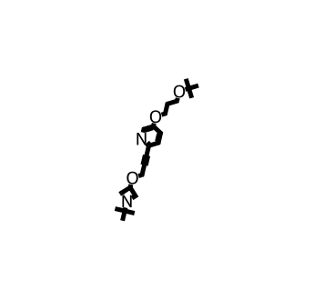 CC(C)(C)OCCCOc1ccc(C#CCOC2CN(C(C)(C)C)C2)nc1